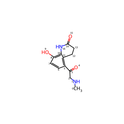 CNCC(=O)c1ccc(O)c2c1CCC(=O)N2